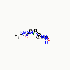 COc1nc(-c2cccc(-c3ccc4nc(C(=O)NC[C@H](C)N)cn4n3)c2Cl)ccc1CNC[C@@H]1CCC(=O)N1